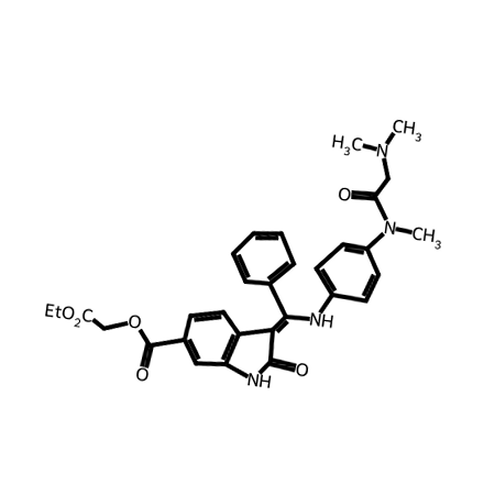 CCOC(=O)COC(=O)c1ccc2c(c1)NC(=O)/C2=C(\Nc1ccc(N(C)C(=O)CN(C)C)cc1)c1ccccc1